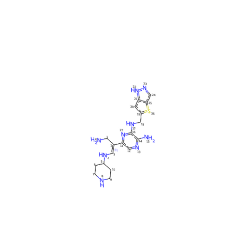 NC/C(=C\NC1CCNCC1)c1cnc(N)c(NCc2cc3[nH]ncc3s2)n1